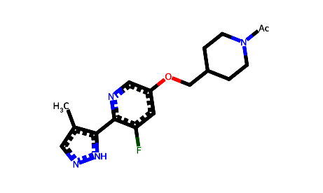 CC(=O)N1CCC(COc2cnc(-c3[nH]ncc3C)c(F)c2)CC1